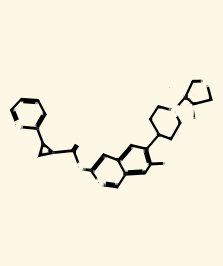 C[C@]1(N2CCC(c3cc4cc(NC(=O)C5CC5c5ccccn5)ncc4cc3Cl)CC2)COC[C@H]1F